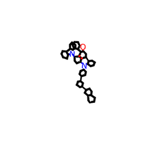 c1cc(-c2ccc(N(c3ccc(-n4c5ccccc5c5ccccc54)cc3)c3ccccc3-c3ccc4c(c3)oc3ccccc34)cc2)cc(-c2ccc3ccccc3c2)c1